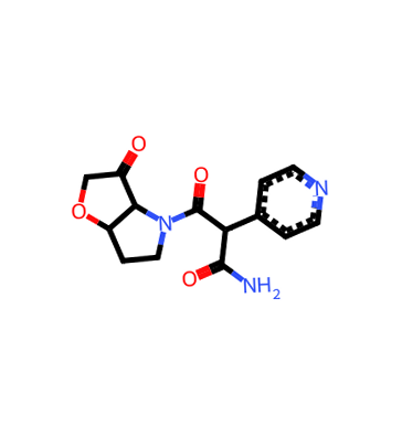 NC(=O)[C](C(=O)N1CCC2OCC(=O)C21)c1ccncc1